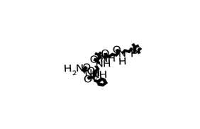 CC(C)[C@H](NC(=O)CCCC(=O)NCCC[Si](F)(C(C)C)C(C)C)C(=O)NCCC(=O)N[C@@H](Cc1ccccc1)C(=O)NCC(N)=O